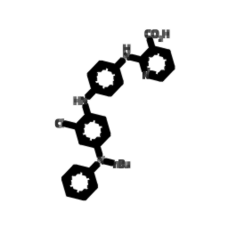 CCCCN(c1ccccc1)c1ccc(Nc2ccc(Nc3ncccc3C(=O)O)cc2)c(Cl)c1